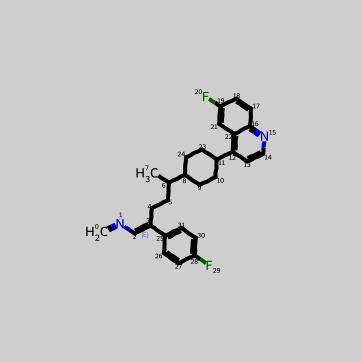 C=N/C=C(\CCC(C)C1CCC(c2ccnc3ccc(F)cc23)CC1)c1ccc(F)cc1